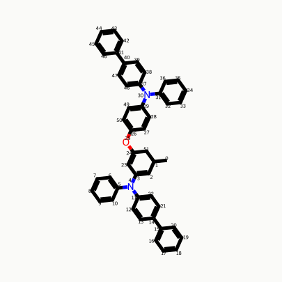 CC1C=C(N(c2ccccc2)c2ccc(-c3ccccc3)cc2)C=C(Oc2ccc(N(c3ccccc3)c3ccc(-c4ccccc4)cc3)cc2)C1